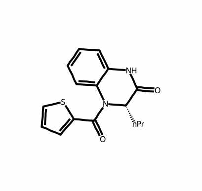 CCC[C@H]1C(=O)Nc2ccccc2N1C(=O)c1cccs1